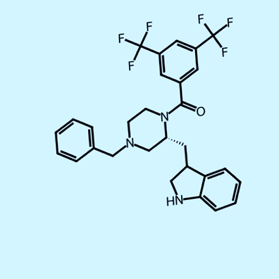 O=C(c1cc(C(F)(F)F)cc(C(F)(F)F)c1)N1CCN(Cc2ccccc2)C[C@H]1CC1CNc2ccccc21